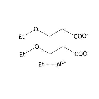 CCOCCC(=O)[O-].CCOCCC(=O)[O-].C[CH2][Al+2]